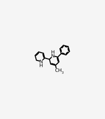 CC1=CC(C2=CC=CCN2)NC(c2ccccc2)=C1